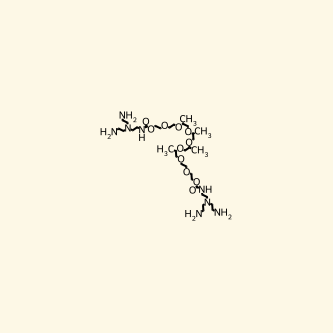 CC(COCCOCCOC(=O)NCCN(CCN)CCN)OCC(C)OCC(C)OCC(C)OCCOCCOC(=O)NCCN(CCN)CCN